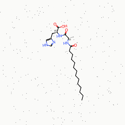 CCCCCCCCCCCCCC(=O)N[C@@H](C)C(=O)N[C@@H](Cc1c[nH]cn1)C(=O)O